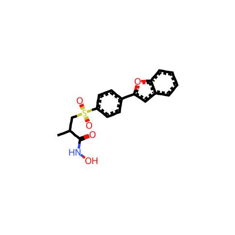 CC(CS(=O)(=O)c1ccc(-c2cc3ccccc3o2)cc1)C(=O)NO